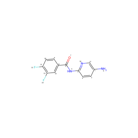 Nc1ccc(NC(=O)c2ccc(F)c(F)c2)nc1